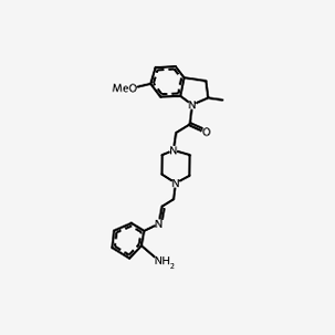 COc1ccc2c(c1)N(C(=O)CN1CCN(C/C=N/c3ccccc3N)CC1)C(C)C2